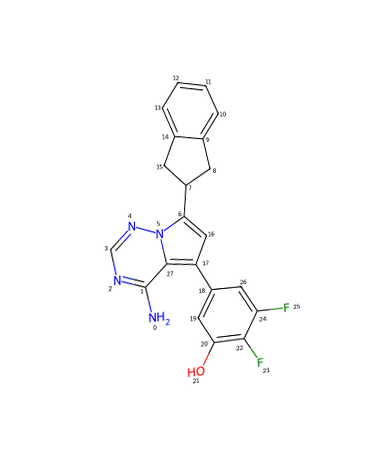 Nc1ncnn2c(C3Cc4ccccc4C3)cc(-c3cc(O)c(F)c(F)c3)c12